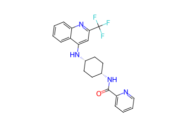 O=C(N[C@H]1CC[C@@H](Nc2cc(C(F)(F)F)nc3ccccc23)CC1)c1ccccn1